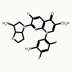 Nc1cc(-n2cc(C(=O)O)c(=O)c3cc(F)c(N4CC(N)C5OCCC54)nc32)c(F)cc1F